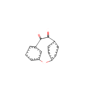 O=C1C(=O)c2cccc(c2)Oc2ccc1cc2